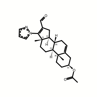 CC(=O)O[C@H]1CC[C@@]2(C)C(=CC[C@@H]3[C@@H]2CC[C@]2(C)C(n4cccn4)=C(C=O)C[C@@H]32)C1